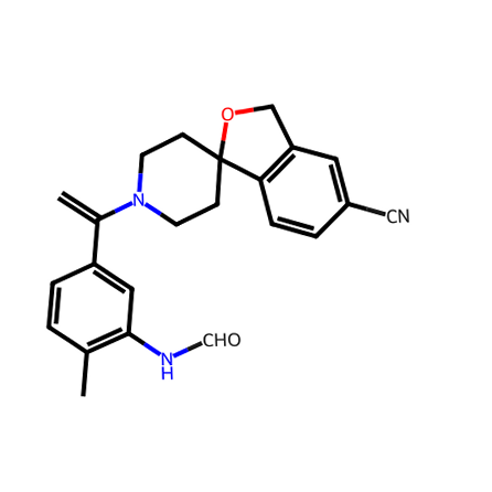 C=C(c1ccc(C)c(NC=O)c1)N1CCC2(CC1)OCc1cc(C#N)ccc12